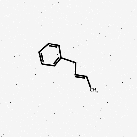 C/C=C/Cc1c[c]ccc1